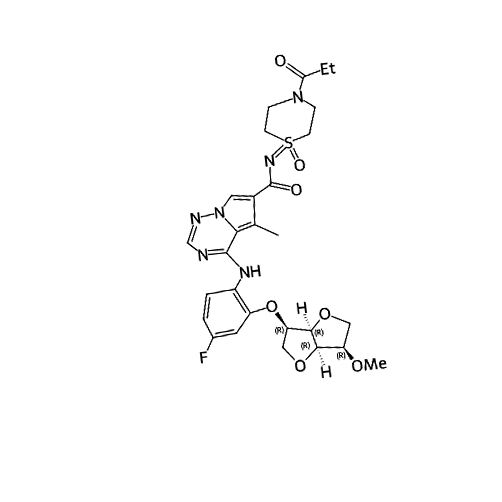 CCC(=O)N1CCS(=O)(=NC(=O)c2cn3ncnc(Nc4ccc(F)cc4O[C@@H]4CO[C@H]5[C@@H]4OC[C@H]5OC)c3c2C)CC1